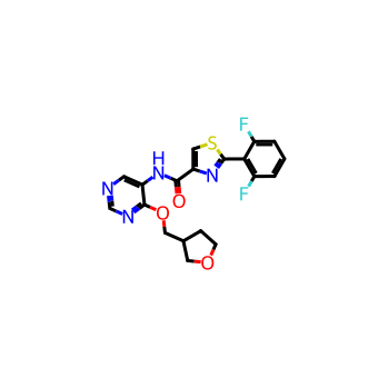 O=C(Nc1cncnc1OCC1CCOC1)c1csc(-c2c(F)cccc2F)n1